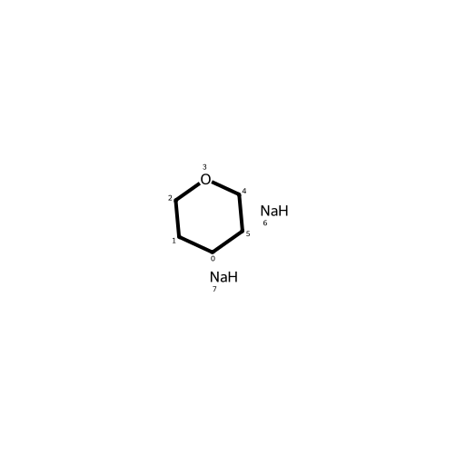 C1CCOCC1.[NaH].[NaH]